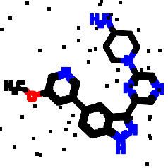 COc1cncc(-c2ccc3[nH]nc(-c4cncc(N5CCC(N)CC5)n4)c3c2)c1